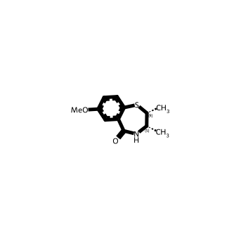 COc1ccc2c(c1)C(=O)N[C@@H](C)[C@@H](C)S2